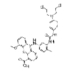 COc1cccc2c(Nc3ccc(C)c(NC(=O)Nc4ccc(N(CCCl)CCCl)cc4)c3)c3cccc(C(=O)O)c3nc12